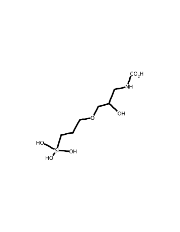 O=C(O)NCC(O)COCCC[Si](O)(O)O